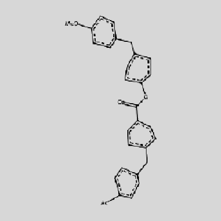 COc1ccc(Cc2ccc(OC(=O)c3ccc(Cc4ccc(C(C)=O)cc4)cc3)cc2)cc1